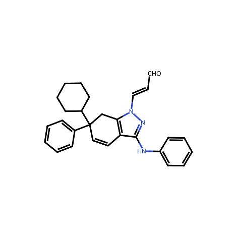 O=CC=Cn1nc(Nc2ccccc2)c2c1CC(c1ccccc1)(C1CCCCC1)C=C2